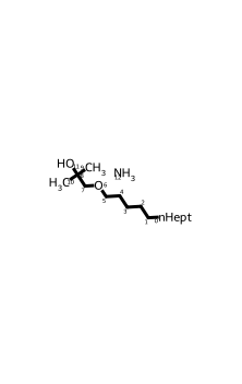 CCCCCCCCCCCCOCC(C)(C)O.N